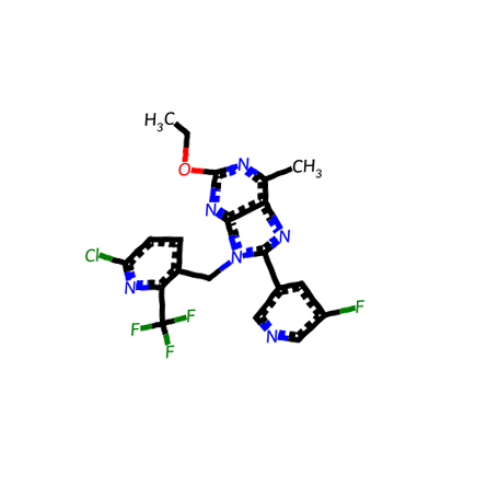 CCOc1nc(C)c2nc(-c3cncc(F)c3)n(Cc3ccc(Cl)nc3C(F)(F)F)c2n1